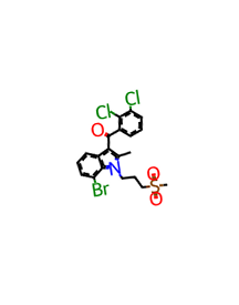 Cc1c(C(=O)c2cccc(Cl)c2Cl)c2cccc(Br)c2n1CCCS(C)(=O)=O